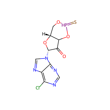 O=C1C2O[PH](=S)OC[C@H]2O[C@H]1n1cnc2c(Cl)ncnc21